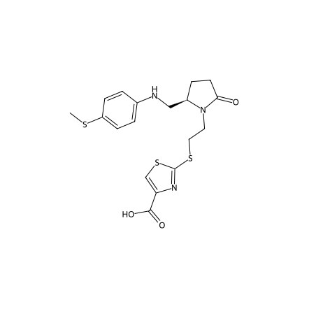 CSc1ccc(NC[C@H]2CCC(=O)N2CCSc2nc(C(=O)O)cs2)cc1